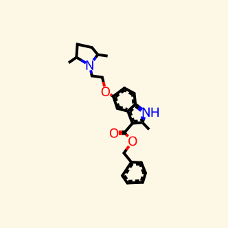 Cc1[nH]c2ccc(OCCN3C(C)CCC3C)cc2c1C(=O)OCc1ccccc1